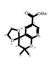 COC(=O)c1cnc2c(c1)C1(CC(C)(C)O2)OCCO1